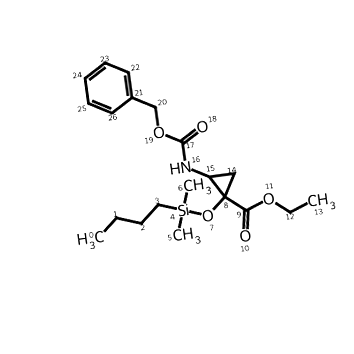 CCCC[Si](C)(C)OC1(C(=O)OCC)CC1NC(=O)OCc1ccccc1